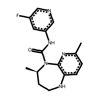 Cc1ccc2c(n1)N(C(=O)Nc1cncc(F)c1)[C@H](C)CCN2